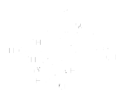 COc1ccc(C(=C2C=C(C(C)(C)C)C(=O)C(C(C)(C)C)=C2)c2ccccc2)c(O)c1